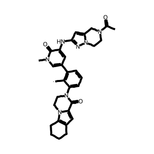 [CH2]c1c(-c2cc(Nc3cc4n(n3)CCN(C(C)=O)C4)c(=O)n(C)c2)cccc1N1CCn2c(cc3c2CCCC3)C1=O